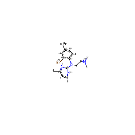 Cc1cc(C)nc(N(CCN(C)C)c2ccc(C(C)C)cc2Br)n1